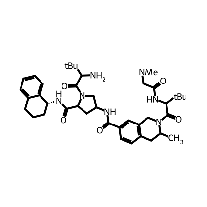 CNCC(=O)NC(C(=O)N1Cc2cc(C(=O)NC3CC(C(=O)N[C@@H]4CCCc5ccccc54)N(C(=O)C(N)C(C)(C)C)C3)ccc2CC1C)C(C)(C)C